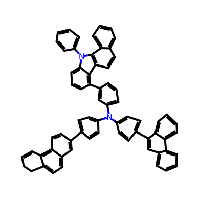 C1=Cc2c(ccc3cc(-c4ccc(N(c5ccc(-c6cc7ccccc7c7ccccc67)cc5)c5cccc(-c6cccc7c6c6ccc8ccccc8c6n7-c6ccccc6)c5)cc4)ccc23)CC1